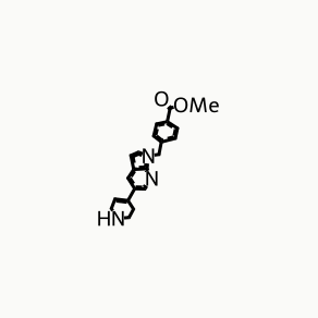 COC(=O)c1ccc(Cn2ccc3cc(C4=CCNCC4)cnc32)cc1